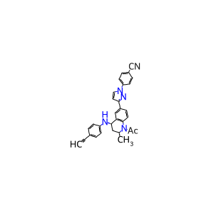 C#Cc1ccc(N[C@@H]2C[C@H](C)N(C(C)=O)c3ccc(-c4ccn(-c5ccc(C#N)cc5)n4)cc32)cc1